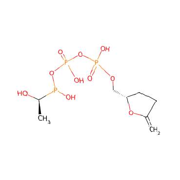 C=C1CC[C@@H](COP(=O)(O)OP(=O)(O)OP(O)[C@@H](C)O)O1